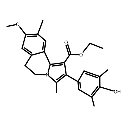 CCOC(=O)c1c(-c2cc(C)c(O)c(C)c2)c(C)n2c1-c1cc(C)c(OC)cc1CC2